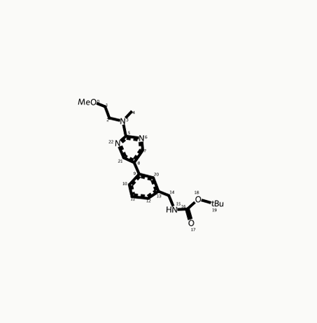 COCCN(C)c1ncc(-c2cccc(CNC(=O)OC(C)(C)C)c2)cn1